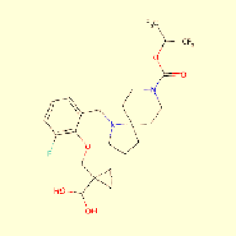 O=C(OC(C(F)(F)F)C(F)(F)F)N1CCC2(CCCN2Cc2cccc(F)c2OCC2(C(O)O)CC2)CC1